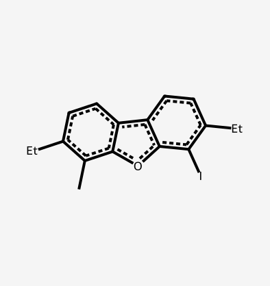 CCc1ccc2c(oc3c(I)c(CC)ccc32)c1C